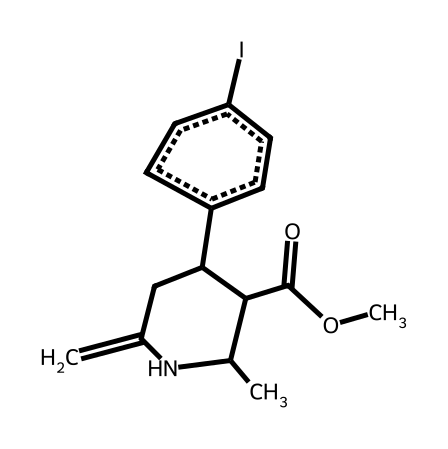 C=C1CC(c2ccc(I)cc2)C(C(=O)OC)C(C)N1